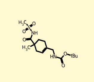 CC(C)(C)OC(=O)NCC1=CCC(C)(C(=O)NS(C)(=O)=O)CC1